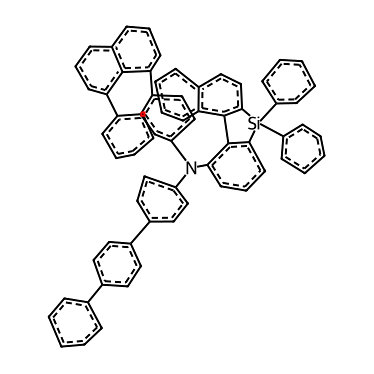 c1ccc(-c2ccc(-c3ccc(N(c4ccc(-c5cccc6cccc(-c7ccccc7)c56)cc4)c4cccc5c4-c4c(ccc6ccccc46)[Si]5(c4ccccc4)c4ccccc4)cc3)cc2)cc1